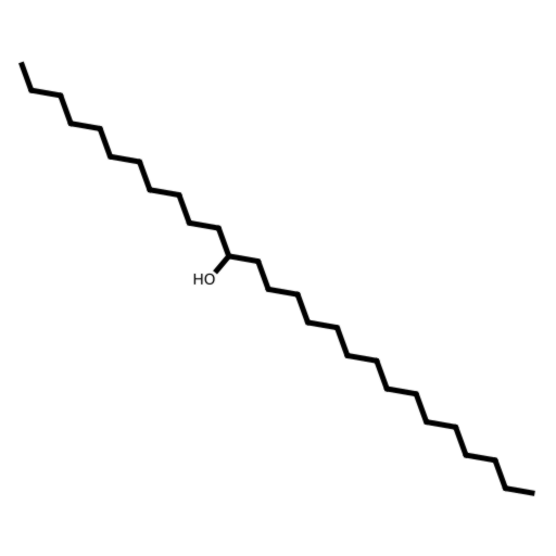 CCCCCCCCCCCCCCCC(O)CCCCCCCCCCC